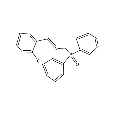 O=P(C/N=C/c1ccccc1Cl)(c1ccccc1)c1ccccc1